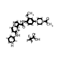 COc1cc(N2CCN(C(C)=O)CC2)ccc1NC(=O)c1cnn2ccc(N[C@@H]3CCCNC3)nc12.O=C(O)C(F)(F)F